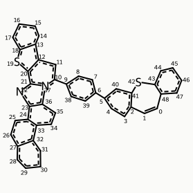 C1=Cc2ccc(-c3ccc(-c4cc5c6ccccc6sc5c5nc6c7ccc8ccccc8c7ccc6n45)cc3)cc2Sc2ccccc21